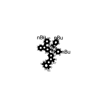 CCCCc1ccc(N2B3c4sc5ccc(CCCC)cc5c4N4c5ccc(CCCC)cc5C5(C)c6ccccc6-c6cc(c3c4c65)-c3cc4c(cc32)C(C)(C)c2cc3c(cc2-4)C(C)(C)CCC3(C)C)cc1